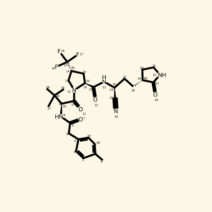 Cc1ccc(CC(=O)N[C@H](C(=O)N2C[C@H](C(F)(F)F)C[C@H]2C(=O)N[C@H](C#N)CC[C@@H]2CCNC2=O)C(C)(C)C)cc1